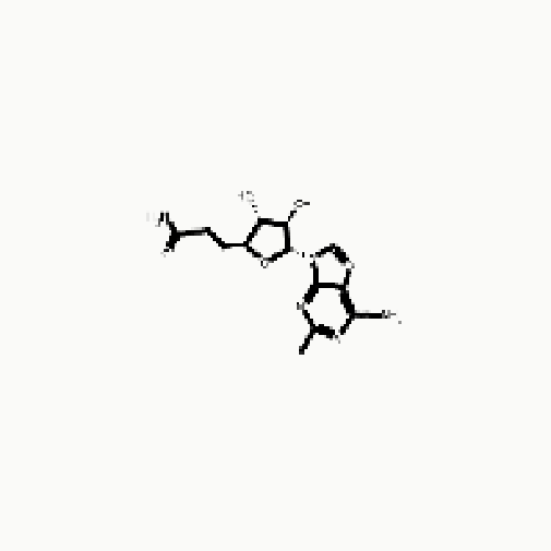 NC(=O)CC[C@@H]1O[C@@H](n2cnc3c(N)nc(I)nc32)[C@H](O)[C@H]1O